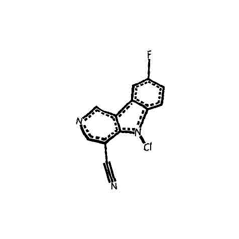 N#Cc1cncc2c3cc(F)ccc3n(Cl)c12